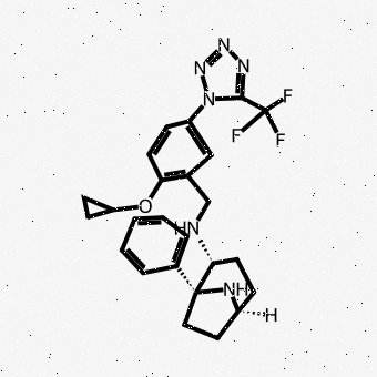 FC(F)(F)c1nnnn1-c1ccc(OC2CC2)c(CN[C@@H]2CC[C@H]3CC[C@]2(c2ccccc2)N3)c1